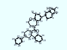 Cc1nc2ccc(-c3cc(C)c4c(c3)CN(C(=O)N3CCN(c5ccccc5)CC3c3ccccc3)CCO4)cc2[nH]1